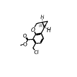 COC(=O)c1c(CCl)ccc2c1OC[C@H]1C[C@@H]21